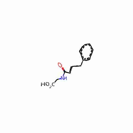 O=C(O)CNC(=O)C=CCc1ccccc1